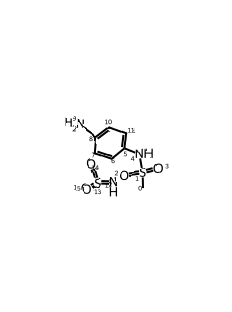 CS(=O)(=O)Nc1ccc(N)cc1.N=S(=O)=O